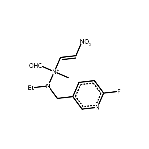 CCN(Cc1ccc(F)nc1)[N+](C)(C=O)C=C[N+](=O)[O-]